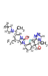 CC(c1cc(C(F)(F)F)c2cn(-c3cccc(C4([C@H](F)c5nncn5C)COC4)c3)c(=O)n2c1)N1CCC2(CC2)C1